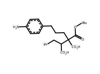 CC(C)CC(C(=O)O)C(CCCc1ccc(N)cc1)(C(=O)O)C(=O)OC(C)(C)C